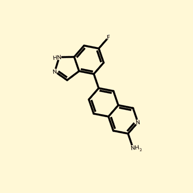 Nc1cc2ccc(-c3cc(F)cc4[nH]ncc34)cc2cn1